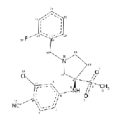 CS(=O)(=O)[C@@]1(Nc2ccc(C#N)c(Cl)c2)CCN(Cc2ccccc2F)C1